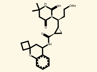 COCC[C@@H]([C@@H]1C[C@H]1C(=O)NC1CC2(CCC2)Oc2ccccc21)N1C(=N)NC(C)(C)CC1=O